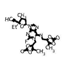 C#C[C@]1(CC)O[C@@H](n2cnc3/c(=N/Cc4oc(=O)oc4C)n(Cc4oc(=O)oc4C)c(F)nc32)C[C@@H]1C